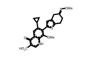 CO/N=C1\CCc2sc(-c3c(C4CC4)cc4c(=O)c(C(=O)O)c[nH]c4c3OC)cc2C1